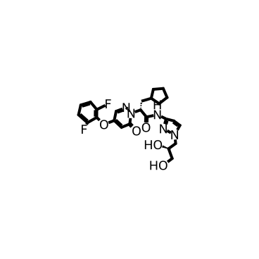 O=C(Nc1ccn(C[C@H](O)CO)n1)[C@@H](CC1CCCC1)n1ncc(Oc2c(F)cccc2F)cc1=O